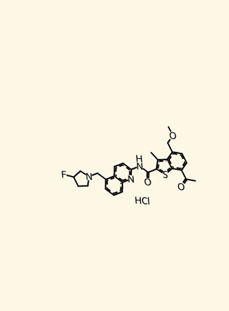 COCc1ccc(C(C)=O)c2sc(C(=O)Nc3ccc4c(CN5CCC(F)C5)cccc4n3)c(C)c12.Cl